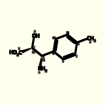 Cc1ccc([C@H](N)[C@@H](O)C(=O)O)cc1